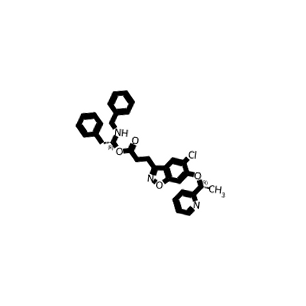 C[C@@H](Oc1cc2onc(CCC(=O)O[C@H](Cc3ccccc3)NCc3ccccc3)c2cc1Cl)c1ccccn1